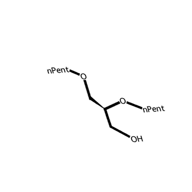 CCCCCOC[C@H](CO)OCCCCC